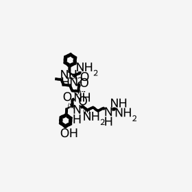 CC(N)CCC[C@](C)(NC(=O)[C@H](Cc1ccc(O)cc1)NC(=O)[C@H](N)CCCNC(=N)N)C(=O)N[C@@H](Cc1ccccc1)C(N)=O